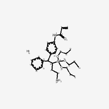 C=CC(=O)Nc1ccc(C(c2ccccc2)C(CCN)[Si](OCCC)(OCCC)OCCC)cc1.I